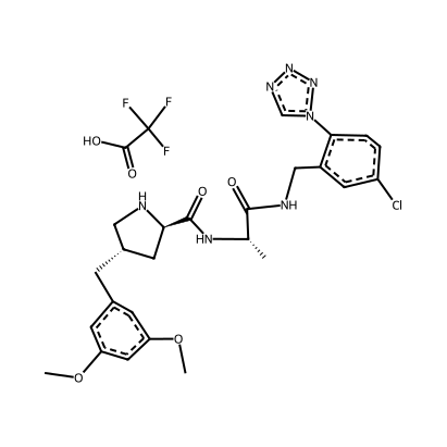 COc1cc(C[C@@H]2CN[C@@H](C(=O)N[C@@H](C)C(=O)NCc3cc(Cl)ccc3-n3cnnn3)C2)cc(OC)c1.O=C(O)C(F)(F)F